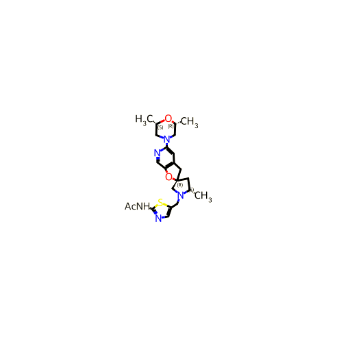 CC(=O)Nc1ncc(CN2C[C@@]3(Cc4cc(N5C[C@@H](C)O[C@@H](C)C5)ncc4O3)C[C@@H]2C)s1